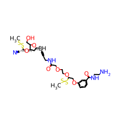 CSSC(COc1cccc(C(=O)NCCN)c1)OCCOCC(=O)NCC#CB[C@H]1C[C@@H](O[C@H](C#N)SSC)C(CO)O1